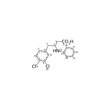 O=C(O)CC(Cc1ccc(Cl)c(Cl)c1)Nc1ccccc1